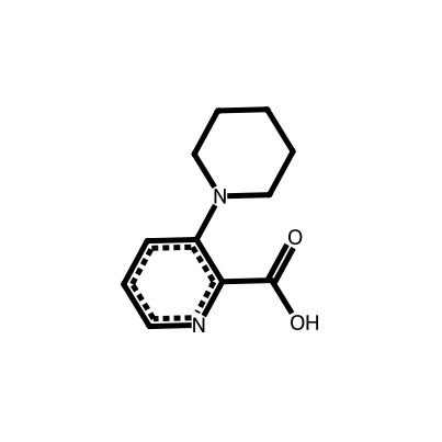 O=C(O)c1ncccc1N1CCCCC1